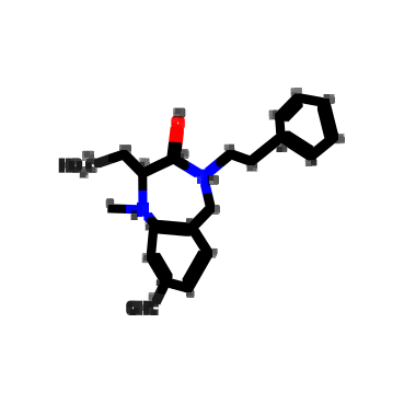 CN1c2cc(C=O)ccc2CN(CCc2ccccc2)C(=O)C1CC(=O)O